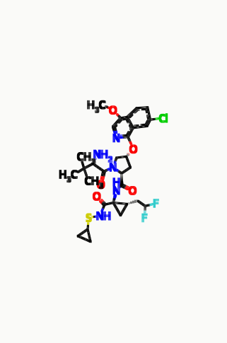 COc1cnc(O[C@@H]2C[C@@H](C(=O)N[C@]3(C(=O)NSC4CC4)C[C@H]3CC(F)F)N(C(=O)[C@@H](N)C(C)(C)C)C2)c2cc(Cl)ccc12